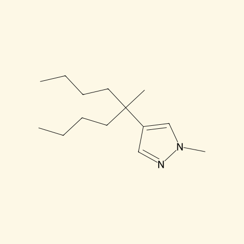 CCCCC(C)(CCCC)c1cnn(C)c1